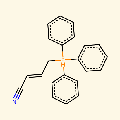 N#CC=CC[PH](c1ccccc1)(c1ccccc1)c1ccccc1